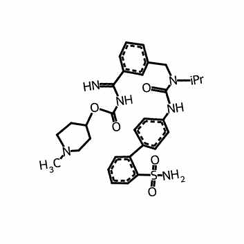 CC(C)N(Cc1cccc(C(=N)NC(=O)OC2CCN(C)CC2)c1)C(=O)Nc1ccc(-c2ccccc2S(N)(=O)=O)cc1